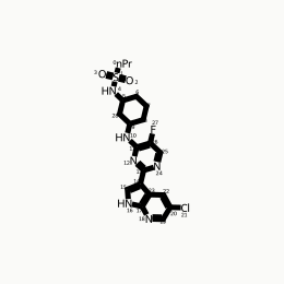 CCCS(=O)(=O)NC1CCCC(Nc2nc(-c3c[nH]c4ncc(Cl)cc34)ncc2F)C1